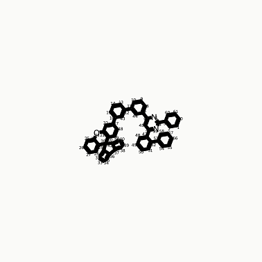 c1ccc(-c2nc(-c3cccc(-c4cccc(-c5ccc6c(c5)Oc5ccccc5C65c6ccccc6-c6ccccc65)c4)c3)cc(-c3ccccc3-c3ccccc3)n2)cc1